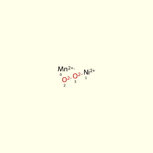 [Mn+2].[Ni+2].[O-2].[O-2]